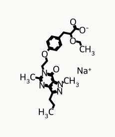 CCCc1nn(C)c2c(=O)n(CCOc3ccc(CC(OCC)C(=O)[O-])cc3)c(C)nc12.[Na+]